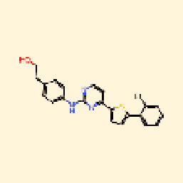 CCc1ccccc1-c1ccc(-c2ccnc(Nc3ccc(CCO)cc3)n2)s1